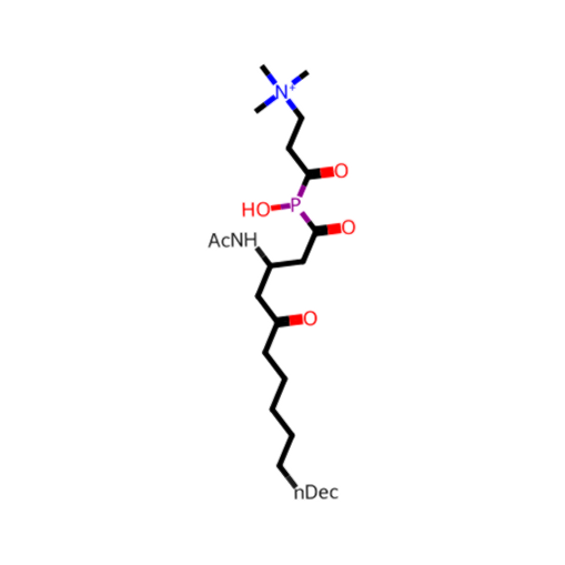 CCCCCCCCCCCCCCCC(=O)CC(CC(=O)P(O)C(=O)CC[N+](C)(C)C)NC(C)=O